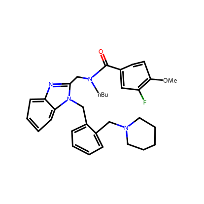 CCCCN(Cc1nc2ccccc2n1Cc1ccccc1CN1CCCCC1)C(=O)c1ccc(OC)c(F)c1